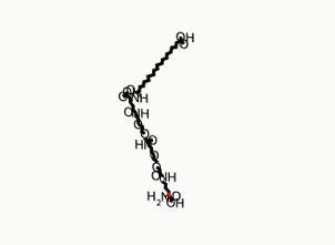 N[C@@H](CCCCNC(=O)COCCOCCNC(=O)COCCOCCNC(=O)CCC(NC(=O)CCCCCCCCCCCCCCCCCCC(=O)O)C(=O)O)C(=O)O